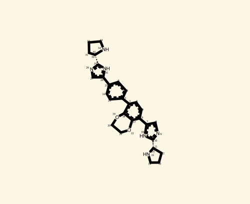 c1cc(-c2ccc(-c3cnc([C@@H]4CCCN4)[nH]3)c3c2OCCO3)ccc1-c1cnc([C@@H]2CCCN2)[nH]1